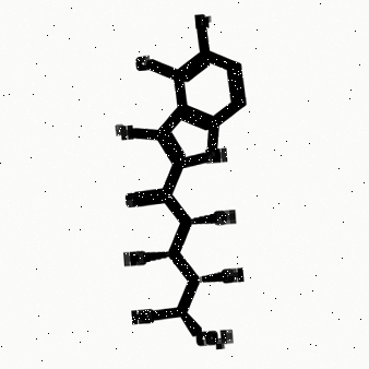 [2H]c1c(C(=O)[C@H](O)[C@@H](O)[C@H](O)[C@H](O)C(=O)O)[nH]c2ccc(Br)c(Cl)c12